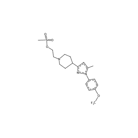 Cc1cc(C2CCN(CCOS(C)(=O)=O)CC2)nn1-c1ccc(OC(F)(F)F)cc1